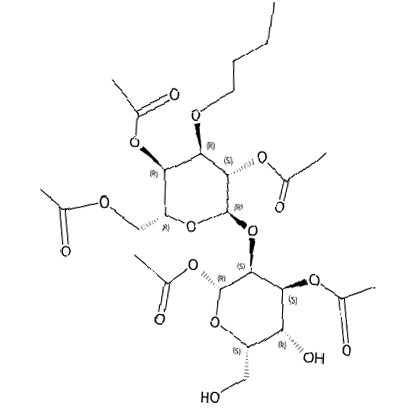 CCCCO[C@H]1[C@H](OC(C)=O)[C@@H](O[C@@H]2[C@@H](OC(C)=O)O[C@@H](CO)[C@@H](O)[C@@H]2OC(C)=O)O[C@H](COC(C)=O)[C@H]1OC(C)=O